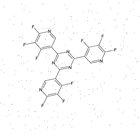 Fc1ncc(-c2nc(-c3cnc(F)c(F)c3F)nc(-c3cnc(F)c(F)c3F)n2)c(F)c1F